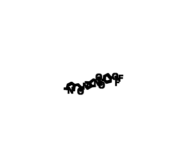 Cc1ccc(CC(=O)N2CC3=C(C2)CN(S(=O)(=O)c2ccc(OC(F)F)cc2)C3)cn1